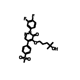 CC(C)(O)CCCOc1c(-c2ccc(S(C)(=O)=O)cc2)cnn(-c2ccc(F)c(F)c2)c1=O